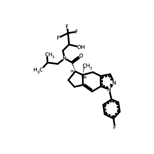 CC(C)CN(CC(O)C(F)(F)F)C(=O)[C@H]1CCC2=Cc3c(cnn3-c3ccc(F)cc3)C[C@@]21C